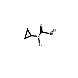 CCNC(=O)N(CC)C1CC1